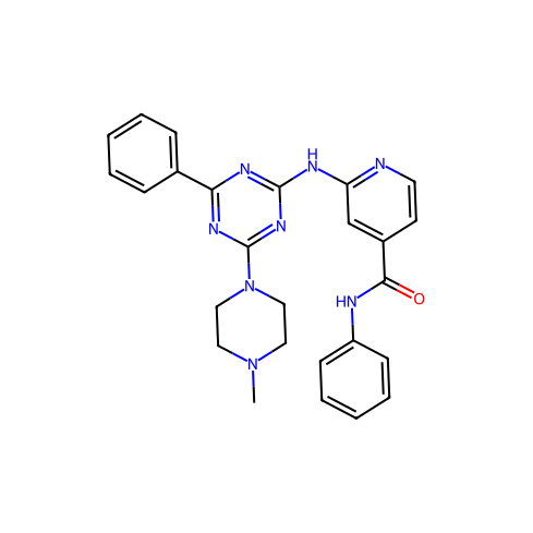 CN1CCN(c2nc(Nc3cc(C(=O)Nc4ccccc4)ccn3)nc(-c3ccccc3)n2)CC1